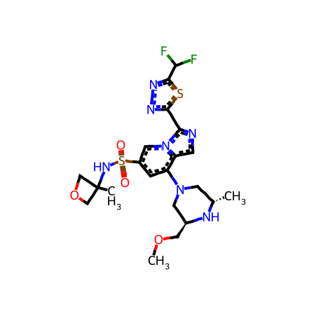 COC[C@H]1CN(c2cc(S(=O)(=O)NC3(C)COC3)cn3c(-c4nnc(C(F)F)s4)ncc23)C[C@H](C)N1